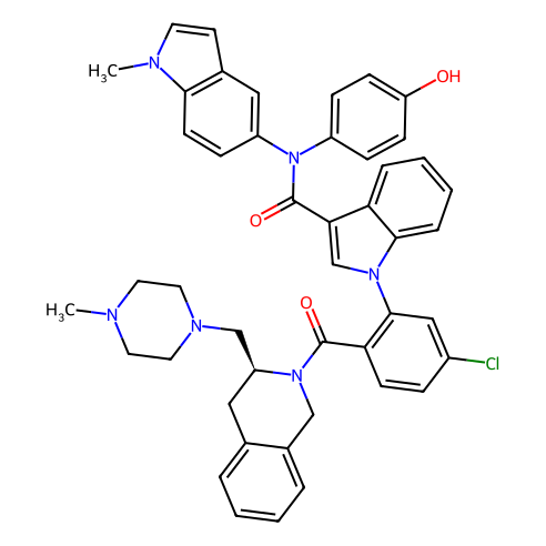 CN1CCN(C[C@@H]2Cc3ccccc3CN2C(=O)c2ccc(Cl)cc2-n2cc(C(=O)N(c3ccc(O)cc3)c3ccc4c(ccn4C)c3)c3ccccc32)CC1